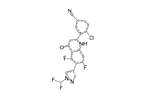 N#Cc1ccc(Cl)c(-c2cc(=O)c3c(F)c(-c4cnn(C(F)F)c4)c(F)cc3[nH]2)c1